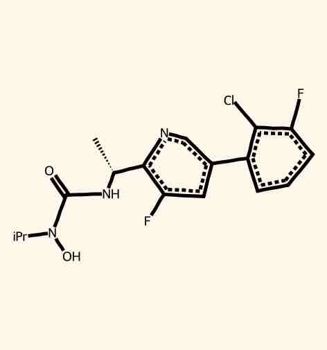 CC(C)N(O)C(=O)N[C@H](C)c1ncc(-c2cccc(F)c2Cl)cc1F